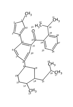 CC1C=CC(c2ccc(C3CCC(C)C(CC(C)C)C3)cc2C(=O)c2ccccc2C(C)C)=C1